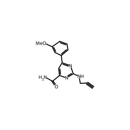 C#CCNc1nc(C(N)=O)cc(-c2cccc(OC)c2)n1